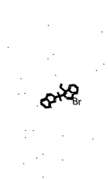 CCc1c(C(C)(C)c2ccc3ccccc3c2)cc(Br)c2ccccc12